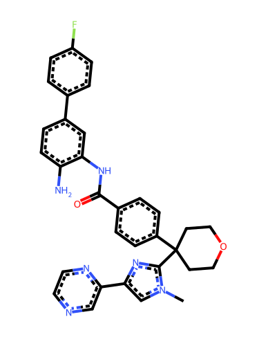 Cn1cc(-c2cnccn2)nc1C1(c2ccc(C(=O)Nc3cc(-c4ccc(F)cc4)ccc3N)cc2)CCOCC1